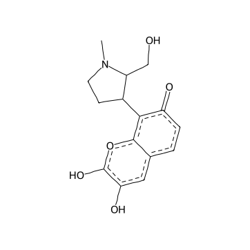 CN1CCC(c2c3oc(O)c(O)cc-3ccc2=O)C1CO